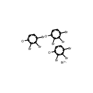 [Bi+3].[O-]c1ccc(Br)c(Br)c1Br.[O-]c1ccc(Br)c(Br)c1Br.[O-]c1ccc(Br)c(Br)c1Br